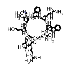 C/N=C\NC(C)C[C@@H]1NC(=O)[C@H](CCCCO)NC(=O)[C@@H](NC(=O)[C@H](CCCNC(=N)N)N2C(=O)CNC2=O)CSSC[C@@H](C(N)=O)NC(=O)[C@H](Cc2c[nH]c3ccccc23)NC(=O)[C@H](CCCNC(=N)N)NC(=O)[C@@H](Cc2ccccc2)NC1=O